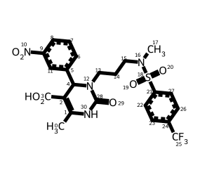 CC1=C(C(=O)O)C(c2cccc([N+](=O)[O-])c2)N(CCCN(C)S(=O)(=O)c2ccc(C(F)(F)F)cc2)C(=O)N1